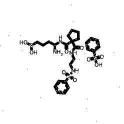 NC(CCCB(O)O)NC(=O)C1(C(=O)NCCNS(=O)(=O)c2ccccc2)CCCC1.O=S(=O)(O)c1ccccc1